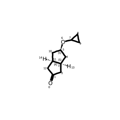 O=C1C[C@@H]2C[C@H](OC3CC3)C[C@@H]2C1